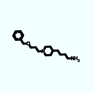 NCCCCC1CCN(CCCOCc2ccccc2)CC1